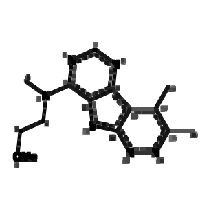 COCCN(C)c1ncnc2c1sc1nnc(C)c(C)c12